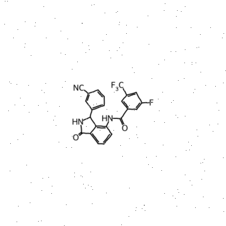 N#Cc1cccc(C2NC(=O)c3cccc(NC(=O)c4cc(F)cc(C(F)(F)F)c4)c32)c1